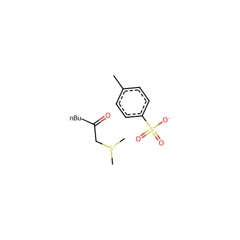 CCCCC(=O)C[S+](C)C.Cc1ccc(S(=O)(=O)[O-])cc1